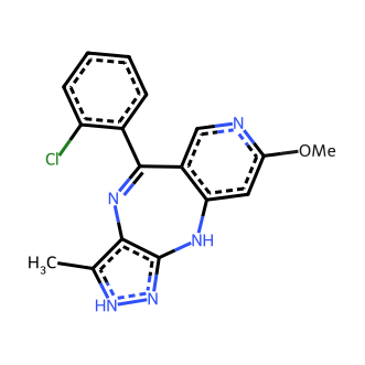 COc1cc2c(cn1)C(c1ccccc1Cl)=Nc1c(n[nH]c1C)N2